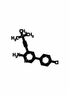 C[Si](C)(C)C#Cc1cc(-c2ccc(Cl)cc2)cnc1N